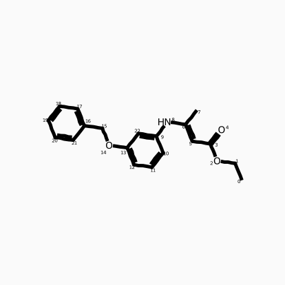 CCOC(=O)C=C(C)Nc1cccc(OCc2ccccc2)c1